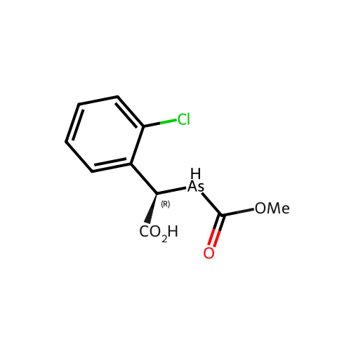 COC(=O)[AsH][C@@H](C(=O)O)c1ccccc1Cl